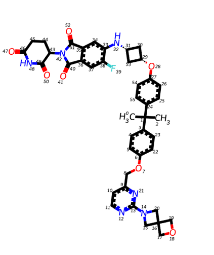 CC(C)(c1ccc(OCc2ccnc(N3CC4(COC4)C3)n2)cc1)c1ccc(O[C@H]2C[C@@H](Nc3cc4c(cc3F)C(=O)N(C3CCC(=O)NC3=O)C4=O)C2)cc1